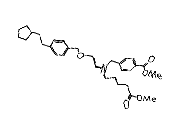 COC(=O)CCCCN(CCOCc1ccc(CCC2CCCC2)cc1)Cc1ccc(C(=O)OC)cc1